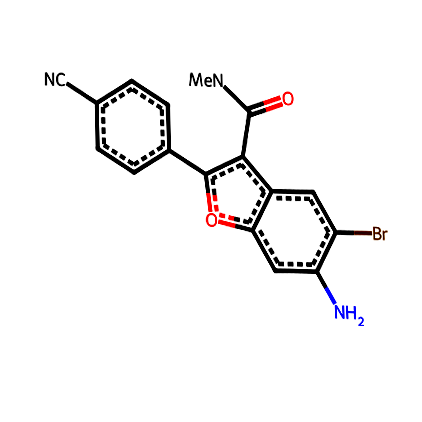 CNC(=O)c1c(-c2ccc(C#N)cc2)oc2cc(N)c(Br)cc12